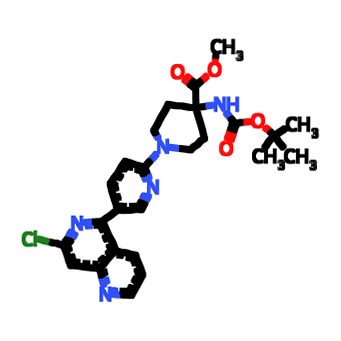 COC(=O)C1(NC(=O)OC(C)(C)C)CCN(c2ccc(-c3nc(Cl)cc4ncccc34)cn2)CC1